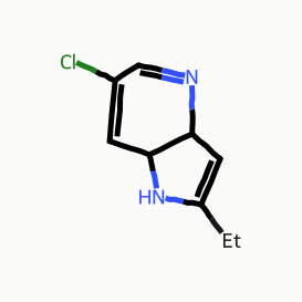 CCC1=CC2N=CC(Cl)=CC2N1